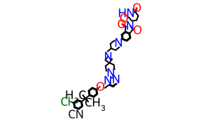 CC(C)(c1ccc(OCc2ccnc(N3CCC4(CC3)CN(CC3CCN(c5ccc6c(c5)C(=O)N(C5CCC(=O)NC5=O)C6=O)CC3)C4)n2)cc1)c1cc(Cl)cc(C#N)c1